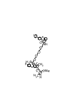 COC[C@H]1CN[C@H](C)CN1CC(=O)N1CC(C)(C)c2nc(CN(C)CCOCCOCCOCCOCCN[C@H](Cc3cccc(F)c3)C(=O)Nc3ccc(-c4ccncc4)cc3)c(Cc3ccc(F)cc3)cc21